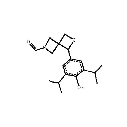 CC(C)c1cc(C2OCC23CN(C=O)C3)cc(C(C)C)c1O